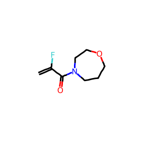 C=C(F)C(=O)N1CCCOCC1